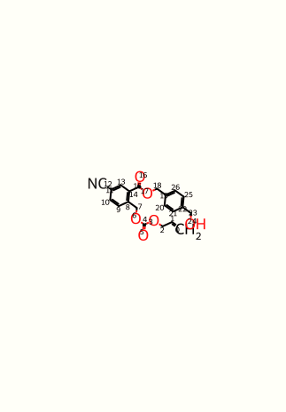 C=CCOC(=O)OCc1ccc(C#N)cc1C(=O)OCc1ccc(CO)cc1